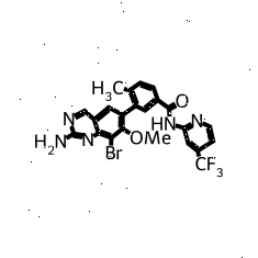 COc1c(-c2cc(C(=O)Nc3cc(C(F)(F)F)ccn3)ccc2C)cc2cnc(N)nc2c1Br